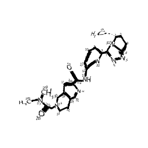 C[C@@H]1CCc2nnc(-c3cccc(NC(=O)c4cc5c(cn4)CCN(C(=O)N(C)C)C5)n3)n21